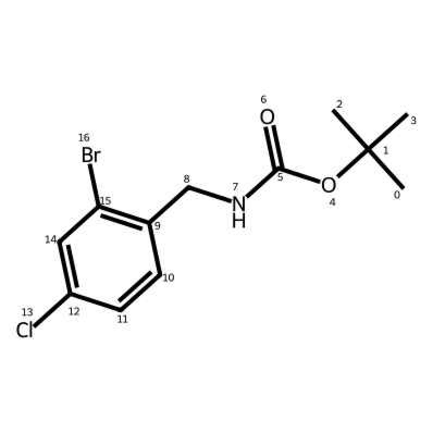 CC(C)(C)OC(=O)NCc1ccc(Cl)cc1Br